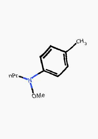 CCCN(OC)c1ccc(C)cc1